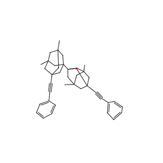 CC12CC3(C)CC(C#Cc4ccccc4)(C1)CC(C14CC5(C)CC(C)(CC(C#Cc6ccccc6)(C5)C1)C4)(C2)C3